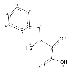 O=C(O)C(=O)C(S)Cc1ccccc1